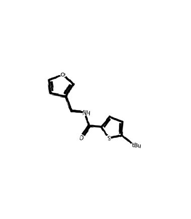 CC(C)(C)c1ccc(C(=O)NCc2ccoc2)s1